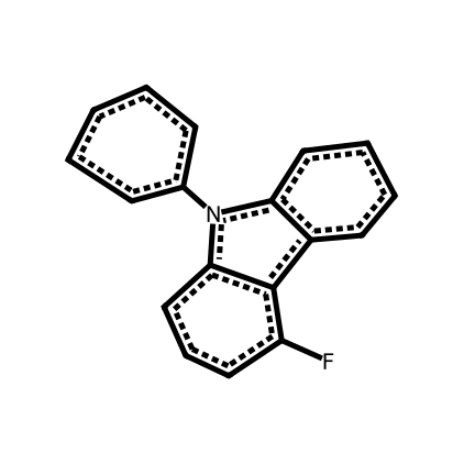 Fc1cccc2c1c1ccccc1n2-c1ccccc1